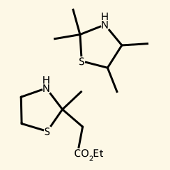 CC1NC(C)(C)SC1C.CCOC(=O)CC1(C)NCCS1